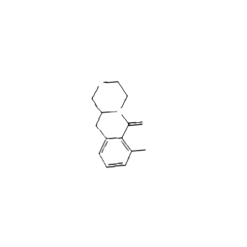 CCc1cccc2c1C(=O)N1CCNCC1C2